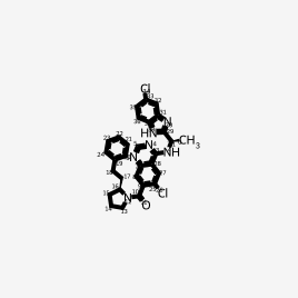 C[C@@H](Nc1ncnc2cc(C(=O)N3CCC[C@H]3CCc3ccccc3)c(Cl)cc12)c1nc2cc(Cl)ccc2[nH]1